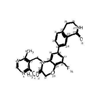 Cc1ncnc(C)c1CN1C(=O)COc2c(F)cc(-c3ccc4c(c3)C(=O)NCC4)cc21